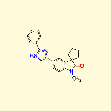 CN1C(=O)C2(CCCC2)c2cc(-c3c[nH]c(-c4ccccc4)n3)ccc21